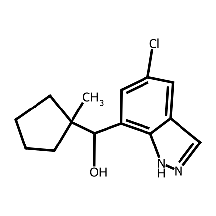 CC1(C(O)c2cc(Cl)cc3cn[nH]c23)CCCC1